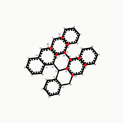 c1ccc(P(c2ccccc2)c2ccc3ccccc3c2C2c3ccccc3CC[C@@H]2P(c2ccccc2)c2ccccc2)cc1